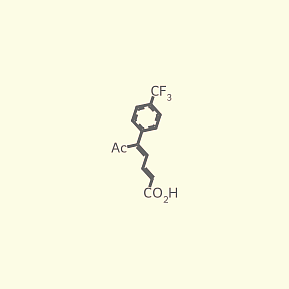 CC(=O)C(=CC=CC(=O)O)c1ccc(C(F)(F)F)cc1